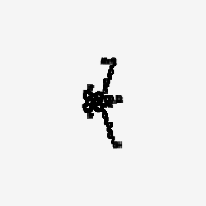 CCOC(=O)c1cc(C2(c3ccc(COCCOCCOCCO)c(C(C)=O)c3)c3cc(Br)ccc3-c3ccc(Br)cc32)ccc1OCCOCCOCCOC